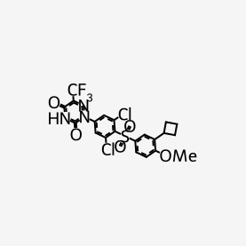 COc1ccc(S(=O)(=O)c2c(Cl)cc(-n3nc(C(F)(F)F)c(=O)[nH]c3=O)cc2Cl)cc1C1CCC1